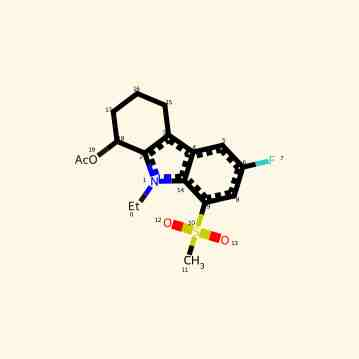 CCn1c2c(c3cc(F)cc(S(C)(=O)=O)c31)CCCC2OC(C)=O